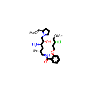 COCCCCOc1ccccc1C(=O)NC[C@@H](C[C@H](N)[C@@H](O)CN1CCC[C@@H]1COC)C(C)C.Cl